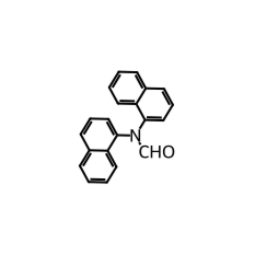 O=CN(c1cccc2ccccc12)c1cccc2ccccc12